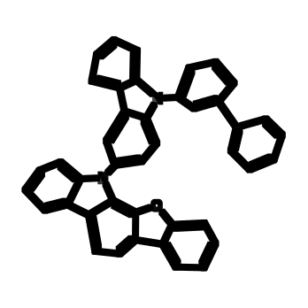 c1ccc(-c2cccc(-n3c4ccccc4c4cc(-n5c6ccccc6c6ccc7c8ccccc8oc7c65)ccc43)c2)cc1